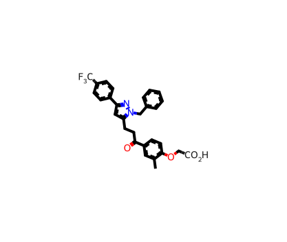 Cc1cc(C(=O)CCc2cc(-c3ccc(C(F)(F)F)cc3)nn2Cc2ccccc2)ccc1OCC(=O)O